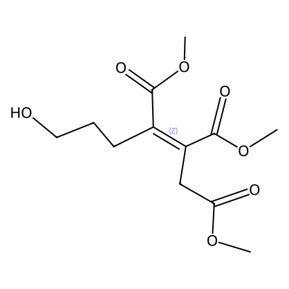 COC(=O)C/C(C(=O)OC)=C(\CCCO)C(=O)OC